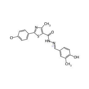 Cc1cc(/C=N/NC(=O)c2sc(-c3ccc(Cl)cc3)nc2C)ccc1O